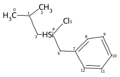 CC(C)C[SiH](Cl)Cc1ccccc1